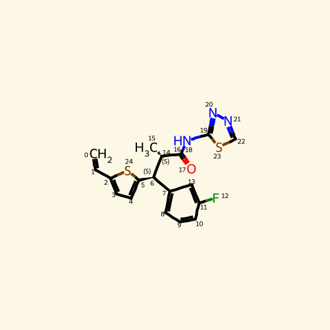 C=Cc1ccc([C@H](c2cccc(F)c2)[C@H](C)C(=O)Nc2nncs2)s1